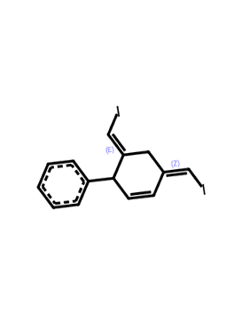 I/C=C1\C=CC(c2ccccc2)/C(=C/I)C1